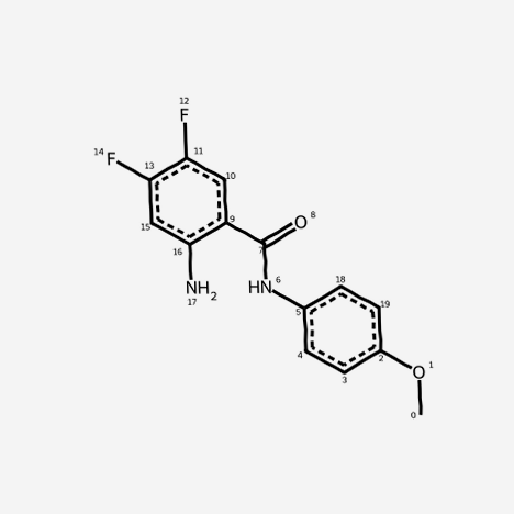 COc1ccc(NC(=O)c2cc(F)c(F)cc2N)cc1